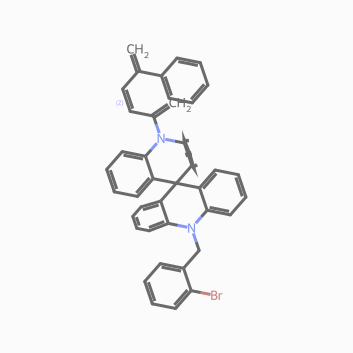 C=C(/C=C\C(=C)N1c2ccccc2C2(c3ccccc3N(Cc3ccccc3Br)c3ccccc32)c2ccccc21)c1ccccc1